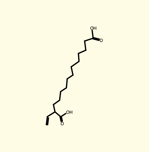 C=CC(CCCCCCCCCCCC(=O)O)C(=O)O